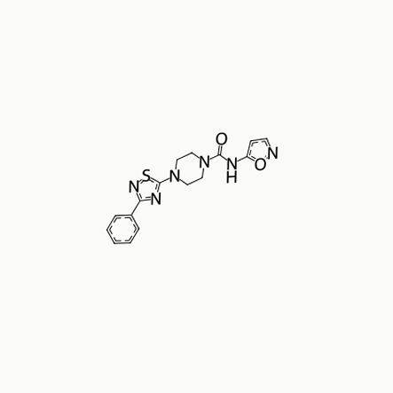 O=C(Nc1ccno1)N1CCN(c2nc(-c3ccccc3)ns2)CC1